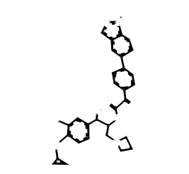 Cn1ncc2cc(-c3ccc(C(=O)C(=O)NC(CN4CCC4)C(O)c4ccc(OC5CC5)c(Cl)c4)cc3)ccc21